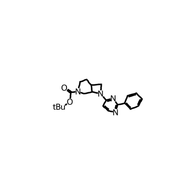 CC(C)(C)OC(=O)N1CCC2CN(c3ccnc(-c4ccccc4)n3)C2C1